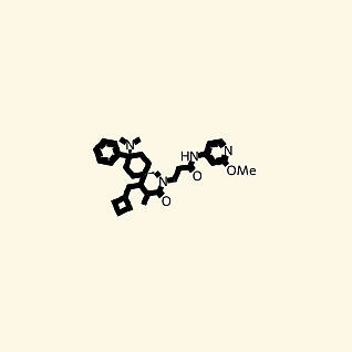 COc1cc(NC(=O)CCN2C[C@]3(CC[C@](c4ccccc4)(N(C)C)CC3)C(CC3CCC3)C(C)C2=O)ccn1